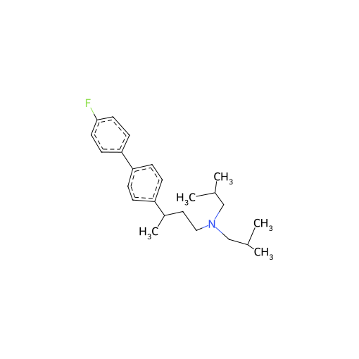 CC(C)CN(CCC(C)c1ccc(-c2ccc(F)cc2)cc1)CC(C)C